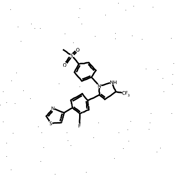 CS(=O)(=O)c1ccc(N2NC(C(F)(F)F)C=C2c2ccc(-c3cscn3)c(F)c2)cc1